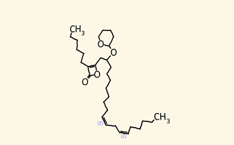 CCCCC/C=C\C/C=C\CCCCCCCC(CC1=C(CCCCCC)C(=O)O1)OC1CCCCO1